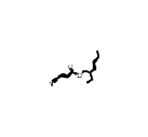 CCCCC(CC)COC(=O)C=CC#N